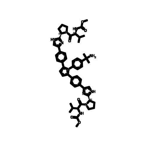 COC(=O)NC(C(=O)N1CCC[C@H]1c1nc(-c2ccc(-c3ccc(-c4ccc(-c5c[nH]c([C@@H]6CCCN6C(=O)[C@@H](NC(=O)OC)C(C)C)n5)cc4)n3-c3ccc(C(C)(C)N)cc3)cc2)c[nH]1)C(C)C